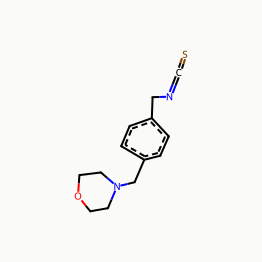 S=C=NCc1ccc(CN2CCOCC2)cc1